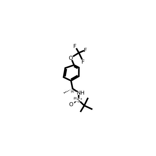 C[C@@H](N[S@@+]([O-])C(C)(C)C)c1ccc(OC(F)(F)F)cc1